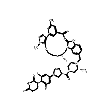 Cc1cc2cc(n1)-c1cnn(C)c1OCCC[C@@H](C)CN1/C(=N/C2=O)Nc2ccc(CN3CCN(C(=O)[C@@H]4CCN(c5cc(F)c([C@H]6CCC(=O)NC6=O)c(F)c5)C4)C[C@H]3C)cc21